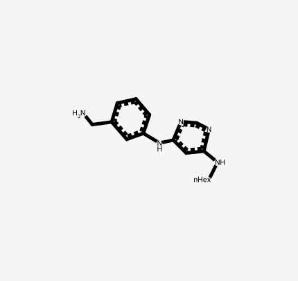 CCCCCCNc1cc(Nc2cccc(CN)c2)ncn1